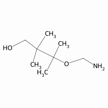 CC(C)(CO)C(C)(C)OCN